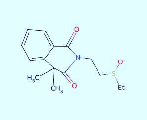 CC[S+]([O-])CCN1C(=O)c2ccccc2C(C)(C)C1=O